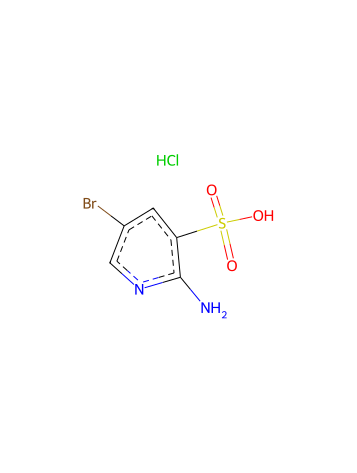 Cl.Nc1ncc(Br)cc1S(=O)(=O)O